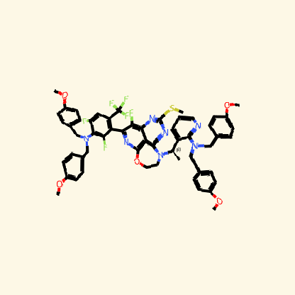 COc1ccc(CN(Cc2ccc(OC)cc2)c2ncccc2[C@@H](C)N2CCOc3nc(-c4c(C(F)(F)F)cc(F)c(N(Cc5ccc(OC)cc5)Cc5ccc(OC)cc5)c4F)c(F)c4nc(SC)nc2c34)cc1